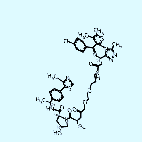 Cc1ncsc1-c1ccc([C@H](C)NC(=O)[C@@H]2C[C@@H](O)CN2C(=O)C(CC(=O)COCCOCCCNC(=O)C[C@@H]2N=C(c3ccc(Cl)cc3)c3c(sc(C)c3C)-n3c(C)nnc32)C(C)(C)C)cc1